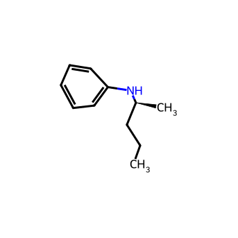 CCC[C@H](C)Nc1ccccc1